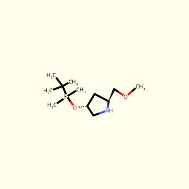 COC[C@@H]1C[C@@H](O[Si](C)(C)C(C)(C)C)CN1